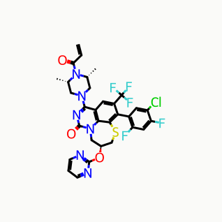 C=CC(=O)N1[C@H](C)CN(c2nc(=O)n3c4c(c(-c5cc(Cl)c(F)cc5F)c(C(F)(F)F)cc24)SC[C@@H](Oc2ncccn2)C3)C[C@@H]1C